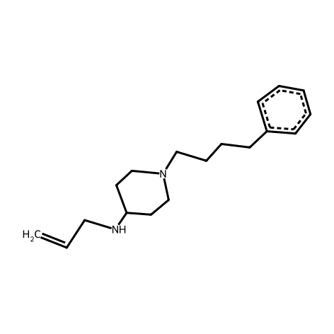 C=CCNC1CCN(CCCCc2ccccc2)CC1